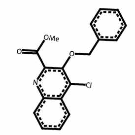 COC(=O)c1nc2ccccc2c(Cl)c1OCc1ccccc1